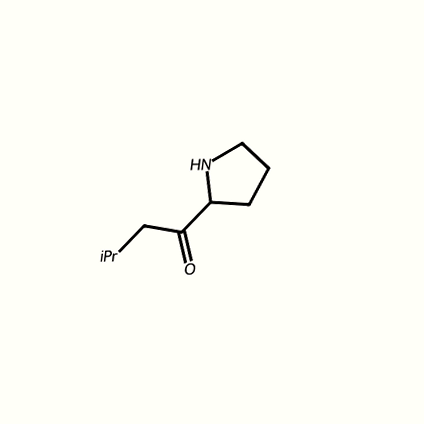 CC(C)CC(=O)C1CCCN1